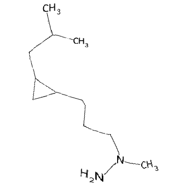 CC(C)CC1CC1CCCN(C)N